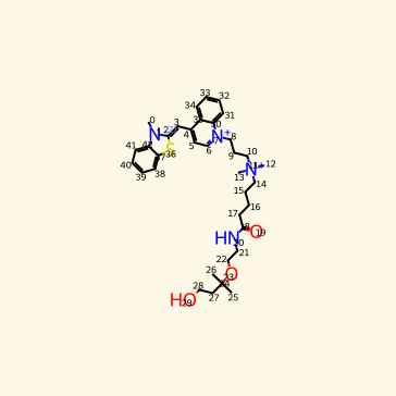 CN1/C(=C/c2cc[n+](CCC[N+](C)(C)CCCCC(=O)NCCOC(C)(C)CCO)c3ccccc23)Sc2ccccc21